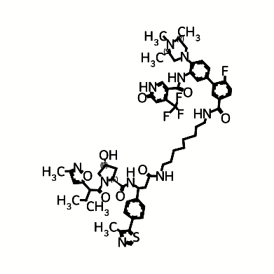 Cc1cc(C(C(=O)N2C[C@H](O)C[C@H]2C(=O)NC(CC(=O)NCCCCCCCCNC(=O)c2ccc(F)c(-c3ccc(N4C[C@@H](C)N(C)[C@@H](C)C4)c(NC(=O)c4c[nH]c(=O)cc4C(F)(F)F)c3)c2)c2ccc(-c3scnc3C)cc2)C(C)C)on1